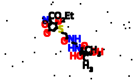 CCOC(=O)c1noc2c1C(=O)C(SCCC(=O)NCCNC(=O)[C@H](O)C(C)(C)CO)=CC2=O